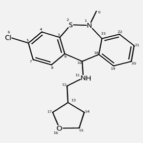 CN1Sc2cc(Cl)ccc2C(NCC2CCOC2)c2ccccc21